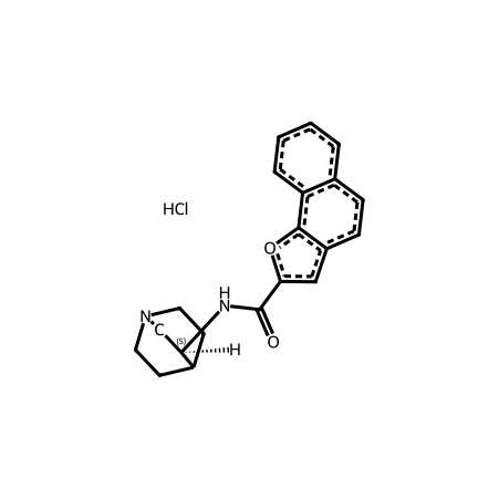 Cl.O=C(N[C@@H]1CN2CCC1CC2)c1cc2ccc3ccccc3c2o1